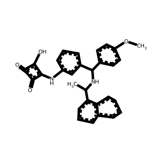 COc1ccc(C(NC(C)c2cccc3ccccc23)c2cccc(Nc3c(O)c(=O)c3=O)c2)cc1